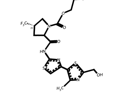 Cc1nc(CO)sc1-c1csc(NC(=O)C2C[C@H](C(F)(F)F)CN2C(=O)OCCF)n1